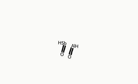 [O]=[AlH].[O]=[SbH]